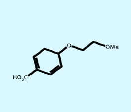 COCCOC1C=CC(C(=O)O)=CC1